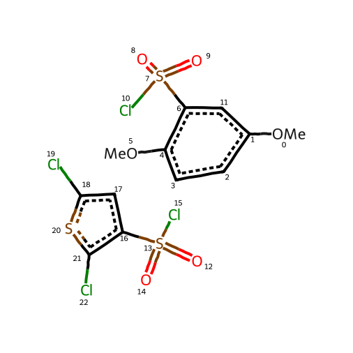 COc1ccc(OC)c(S(=O)(=O)Cl)c1.O=S(=O)(Cl)c1cc(Cl)sc1Cl